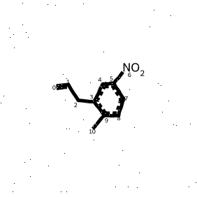 C=CCc1cc([N+](=O)[O-])ccc1C